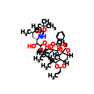 C=C[C@@H]1O[C@H]2C[C@H]3OC[C@@]3(OC(C)=O)[C@H]3[C@H](OC(=O)c4ccccc4)[C@]4(O)C[C@H](OC(=O)[C@@H](O)[C@H](CC(C)C)NC(=O)OC(C)(C)C)C(C)=C([C@H](C)[C@H](O1)[C@]23C)C4(C)C